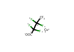 O=C([O-])C(F)(F)C(F)(F)C(F)(F)F.[Cu+]